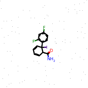 NC(=O)C1C=CC=CC1(I)c1ccc(F)cc1F